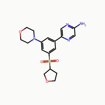 Nc1cnc(-c2cc(N3CCOCC3)cc(S(=O)(=O)C3CCOC3)c2)cn1